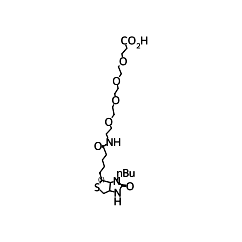 CCCCN1C(=O)NC2CS[C@@H](CCCCC(=O)NCCOCCOCCOCCOCCC(=O)O)C21